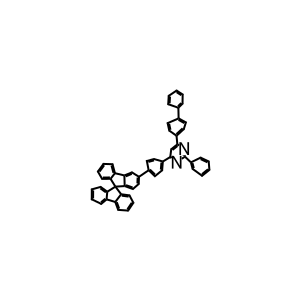 c1ccc(-c2ccc(-c3cc(-c4ccc(-c5ccc6c(c5)-c5ccccc5C65c6ccccc6-c6ccccc65)cc4)nc(-c4ccccc4)n3)cc2)cc1